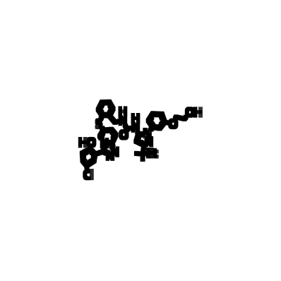 CCC(C)(C)c1cc(NC(=O)NCc2ccccc2Sc2ccc3nnc(-c4cc(Cl)ccc4O)n3c2)n(-c2cccc(OCCO)c2)n1